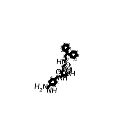 Cl.N=C(N)c1ccc(CNC(CO)C(=O)NCC(=O)NCCC(c2ccccc2)c2ccccc2)cc1